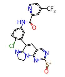 O=[S+]c1ncc2c(n1)N1CCN=C1C(c1cc(NC(=O)c3cc(C(F)(F)F)ccn3)ccc1Cl)=C2